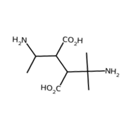 CC(N)C(C(=O)O)C(C(=O)O)C(C)(C)N